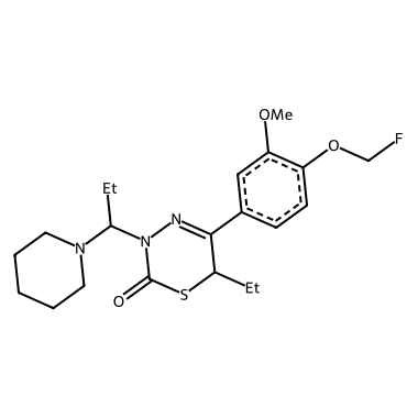 CCC1SC(=O)N(C(CC)N2CCCCC2)N=C1c1ccc(OCF)c(OC)c1